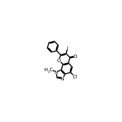 Cn1cnc2c(Cl)cc3c(=O)c(I)c(-c4ccccc4)oc3c21